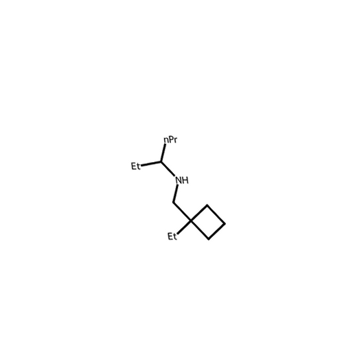 CCCC(CC)NCC1(CC)CCC1